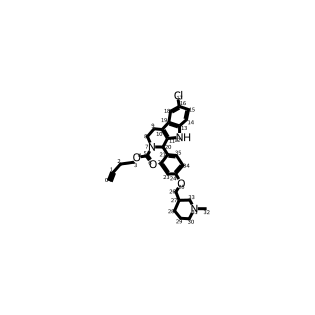 C#CCCOC(=O)N1CCc2c([nH]c3ccc(Cl)cc23)C1c1ccc(OCC2CCCN(C)C2)cc1